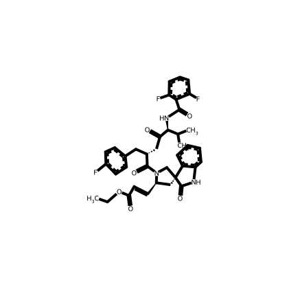 CCOC(=O)/C=C/[C@@H]1C[C@@]2(CN1C(=O)[C@@H](CC(=O)[C@@H](NC(=O)c1c(F)cccc1F)C(C)C)Cc1ccc(F)cc1)C(=O)Nc1ccccc12